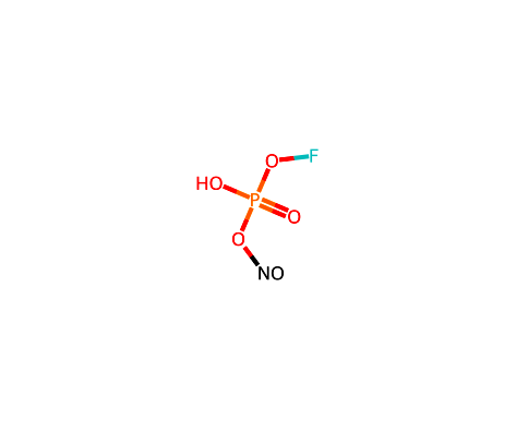 O=NOP(=O)(O)OF